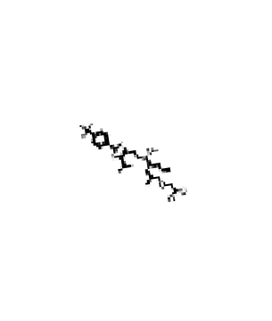 C=C/C=C(\C=C(\C)COCC(=O)O)[C@@H](O)CCc1sc(-c2ccc(C(F)(F)F)cc2)nc1C(C)C